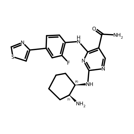 NC(=O)c1cnc(N[C@@H]2CCCC[C@@H]2N)nc1Nc1ccc(-c2cscn2)cc1F